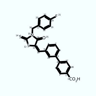 O=C(O)c1ccc(-c2cccc(C=C3SC(=S)N(Cc4ccc(F)cc4)C3=O)c2)cc1